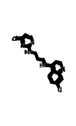 Clc1ccc2c(NCCCNc3nccc(Cl)n3)ccnc2c1